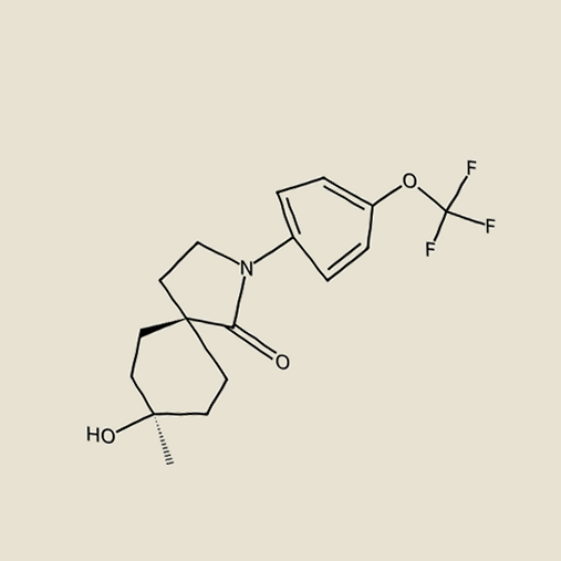 C[C@]1(O)CC[C@]2(CCN(c3ccc(OC(F)(F)F)cc3)C2=O)CC1